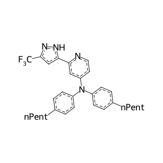 CCCCCc1ccc(N(c2ccc(CCCCC)cc2)c2ccnc(-c3cc(C(F)(F)F)n[nH]3)c2)cc1